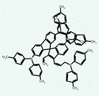 C=CC1=C(/C=C\CN(c2ccc(C)cc2)c2ccc(C)cc2)c2ccc(N(c3ccc(C)cc3)c3ccc(C)cc3)cc2C12c1cc(N(c3ccc(C)cc3)c3ccc(C)cc3)ccc1-c1ccc(N(c3ccc(C)cc3)c3ccc(C)cc3)cc12